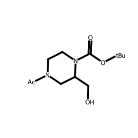 CC(=O)N1CCN(C(=O)OC(C)(C)C)C(CO)C1